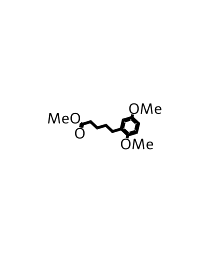 COC(=O)CCCCc1cc(OC)ccc1OC